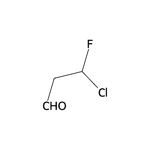 O=CCC(F)Cl